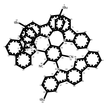 CC(C)(C)c1ccc2c(c1)c1cc(C(C)(C)C)c3c4ccccc4oc3c1n2-c1c(-n2c3ccccc3c3ccccc32)c(C#N)c(-n2c3ccc(C(C)(C)C)cc3c3ccc4c5ccccc5sc4c32)c(C#N)c1-n1c2ccccc2c2ccccc21